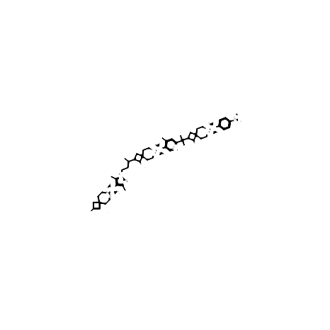 CC(=O)N(C)c1ccc(S(=O)(=O)N2CCC3(CC2)CC(C(C)(C)c2cc(C)c(S(=O)(=O)N4CCC5(CC4)CC(C(C)CCn4nc(C)c(S(=O)(=O)N6CCC7(CC6)CC(C(C)C)C7O)c4C)C5O)cn2)C3O)cc1